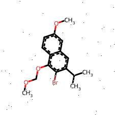 COCOc1c(Br)c(C(C)C)cc2cc(OC)ccc12